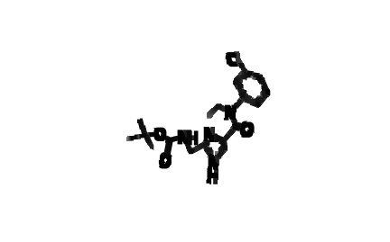 CCN(C(=O)c1c[nH]c(CNC(=O)OC(C)(C)C)n1)c1cccc(Cl)c1